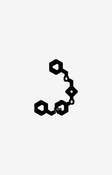 c1ccc(COCC2CC(Oc3cc[n+](Cc4ccccc4)cc3)C2)cc1